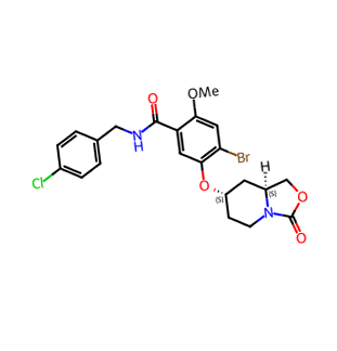 COc1cc(Br)c(O[C@H]2CCN3C(=O)OC[C@@H]3C2)cc1C(=O)NCc1ccc(Cl)cc1